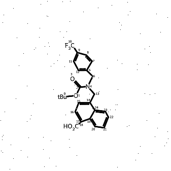 CC(C)(C)OC(=O)N(Cc1ccc(C(F)(F)F)cc1)Cc1ccc(C(=O)O)c2ccccc12